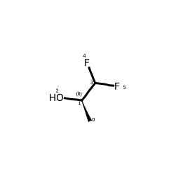 C[C@@H](O)C(F)F